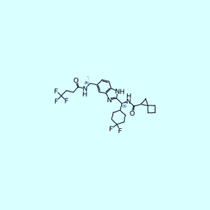 C[C@@H](NC(=O)CCC(F)(F)F)c1ccc2[nH]c([C@@H](NC(=O)C3CC34CCC4)C3CCC(F)(F)CC3)nc2c1